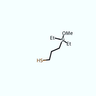 CC[Si](CC)(CCCS)OC